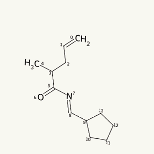 C=CCC(C)C(=O)/N=C/C1CCCC1